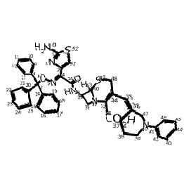 Nc1nc(C(=NOC(c2ccccc2)(c2ccccc2)c2ccccc2)C(=O)N[C@@H]2CN3C(C(=O)O)=C(C=C4CCCN(c5ccccc5)C4)CS[C@H]23)cs1